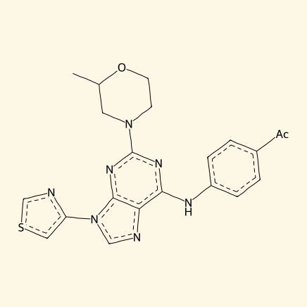 CC(=O)c1ccc(Nc2nc(N3CCOC(C)C3)nc3c2ncn3-c2cscn2)cc1